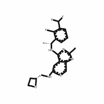 Cc1nc(N[C@H](C)c2cccc(C(F)F)c2F)c2cc(NC[C@H]3CCO3)ncc2n1